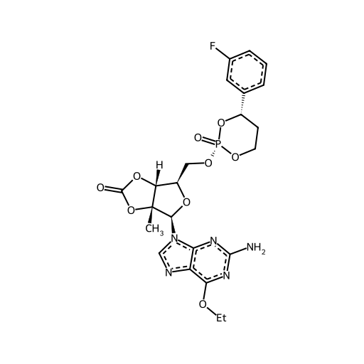 CCOc1nc(N)nc2c1ncn2[C@@H]1O[C@H](CO[P@@]2(=O)OCC[C@@H](c3cccc(F)c3)O2)[C@H]2OC(=O)O[C@]21C